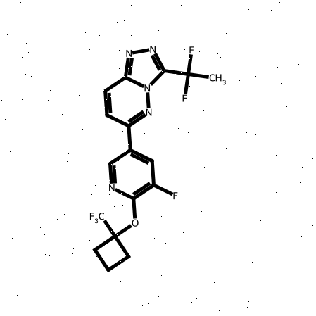 CC(F)(F)c1nnc2ccc(-c3cnc(OC4(C(F)(F)F)CCC4)c(F)c3)nn12